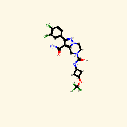 NC(=O)c1c(-c2ccc(Cl)c(Cl)c2)nn2c1CN(C(=O)NC1CC(OC(F)(F)F)C1)CC2